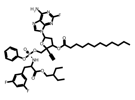 C#CC1(CO[P@@](=O)(NC(Cc2cc(F)cc(F)c2)C(=O)OCC(CC)CC)Oc2ccccc2)OC(n2cnc3c(N)nc(F)nc32)CC1OC(=O)CCCCCCCCCCC